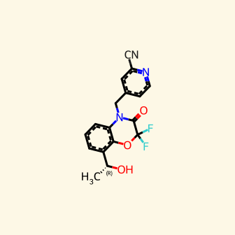 C[C@@H](O)c1cccc2c1OC(F)(F)C(=O)N2Cc1ccnc(C#N)c1